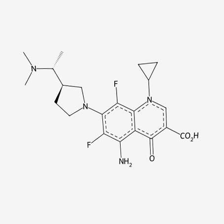 C[C@H]([C@@H]1CCN(c2c(F)c(N)c3c(=O)c(C(=O)O)cn(C4CC4)c3c2F)C1)N(C)C